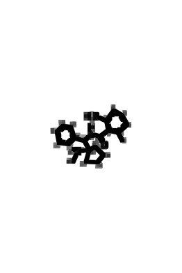 Bc1cccc(C)c1C(=O)NC(c1ccccc1)C1(N(C)C)CCCC1